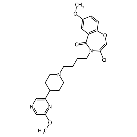 COc1ccc2c(c1)C(=O)N(CCCCN1CCC(c3cncc(OC)n3)CC1)C(Cl)=CO2